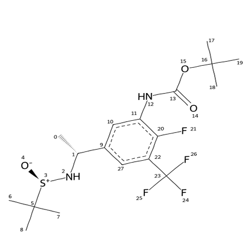 C[C@@H](N[S@+]([O-])C(C)(C)C)c1cc(NC(=O)OC(C)(C)C)c(F)c(C(F)(F)F)c1